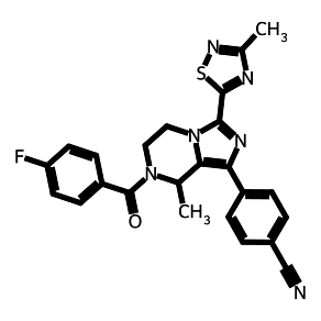 Cc1nsc(-c2nc(-c3ccc(C#N)cc3)c3n2CCN(C(=O)c2ccc(F)cc2)C3C)n1